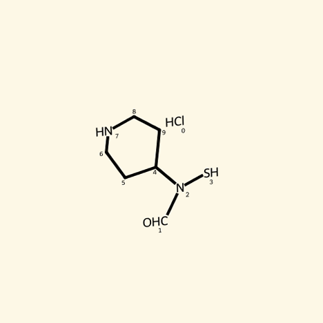 Cl.O=CN(S)C1CCNCC1